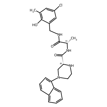 Cc1cc(Cl)cc(CNC(=O)[C@H](C)NC(=O)[C@H]2CN(c3cccc4ccccc34)CCN2)c1O